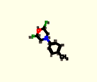 Cc1ccc(N2CC(F)OC(F)C2)cc1